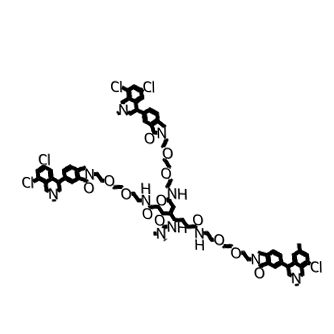 Cc1cc(Cl)c2c(c1)C(c1ccc3c(c1)C(=O)N(CCOCCOCCNC(=O)CCC(NC(=O)N(C)C)C(CCC(=O)NCCOCCOCCN1Cc4ccc(C5CN(C)Cc6c(Cl)cc(Cl)cc65)cc4C1=O)CC(=O)NCCOCCOCCN1Cc4ccc(C5CN(C)Cc6c(Cl)cc(Cl)cc65)cc4C1=O)C3)CN(C)C2